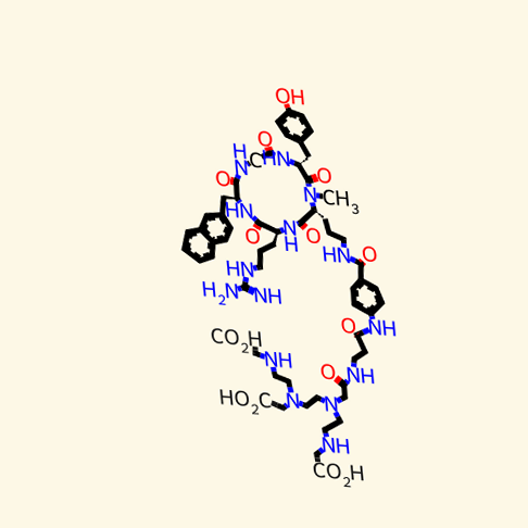 CN1C(=O)[C@@H](Cc2ccc(O)cc2)NC(=O)CNC(=O)[C@H](Cc2ccc3ccccc3c2)NC(=O)[C@H](CCCNC(=N)N)NC(=O)[C@H]1CCCNC(=O)c1ccc(NC(=O)CCNC(=O)CN(CCNCC(=O)O)CCN(CCNCC(=O)O)CC(=O)O)cc1